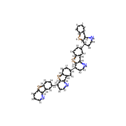 c1ccc2c(c1)sc1c(-c3ccc4sc5c(-c6ccc7sc8c(-c9ccc%10sc%11cccnc%11c%10c9)ccnc8c7c6)ccnc5c4c3)ccnc12